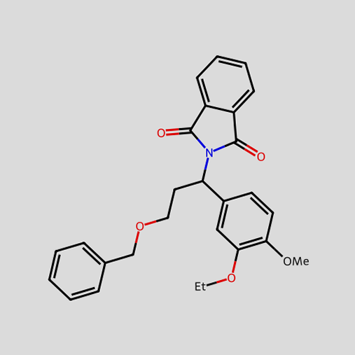 CCOc1cc(C(CCOCc2ccccc2)N2C(=O)c3ccccc3C2=O)ccc1OC